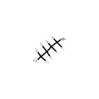 [CH2]CCCC(F)(F)C(F)(F)C(F)(F)C(F)(F)C(F)(F)F